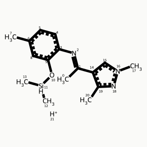 CC(=Nc1ccc(C)cc1O[SiH](C)C)c1cn(C)nc1C.[H+]